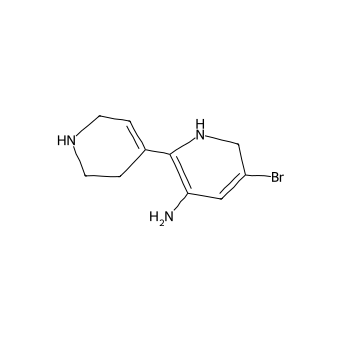 NC1=C(C2=CCNCC2)NCC(Br)=C1